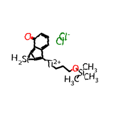 C[Si](C)(C)OCC[CH2][Ti+2][C]1=C2[SiH2]C2=C2C(=O)C=CC=C12.[Cl-].[Cl-]